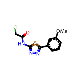 COc1cccc(-c2nnc(NC(=O)CCl)s2)c1